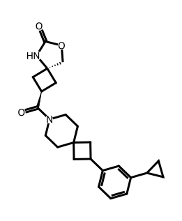 O=C1N[C@]2(CO1)C[C@H](C(=O)N1CCC3(CC1)CC(c1cccc(C4CC4)c1)C3)C2